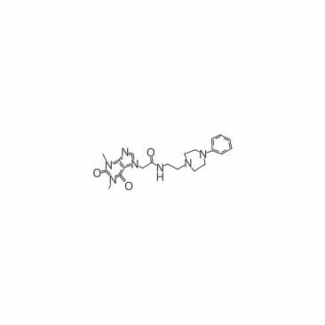 Cn1c(=O)c2c(ncn2CC(=O)NCCN2CCN(c3ccccc3)CC2)n(C)c1=O